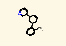 Cc1ccccc1C1CC=CC(c2cccnc2)C1